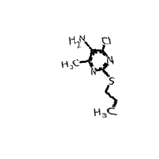 CCCSc1nc(C)c(N)c(Cl)n1